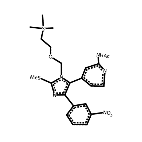 CSc1nc(-c2cccc([N+](=O)[O-])c2)c(-c2ccnc(NC(C)=O)c2)n1COCC[Si](C)(C)C